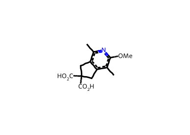 COc1nc(C)c2c(c1C)CC(C(=O)O)(C(=O)O)C2